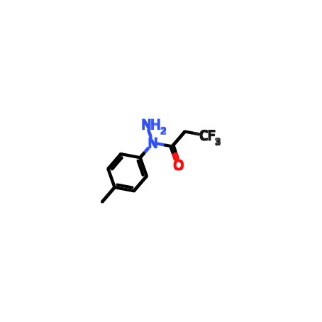 Cc1ccc(N(N)C(=O)CC(F)(F)F)cc1